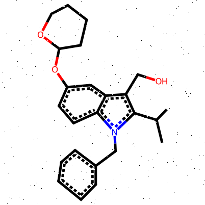 CC(C)c1c(CO)c2cc(OC3CCCCO3)ccc2n1Cc1ccccc1